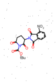 CC(C)(C)OC(=O)N1C(=O)CCC(N2C(=O)c3cccc([N+](=O)[O-])c3C2=O)C1=O